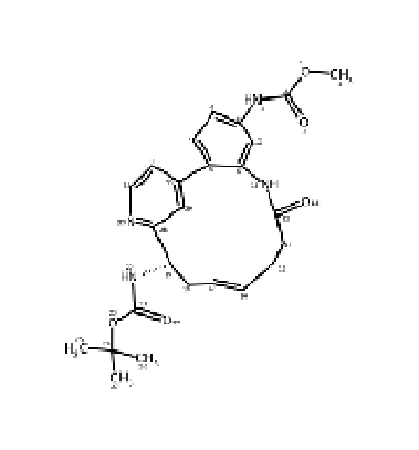 COC(=O)Nc1ccc2c(c1)NC(=O)CC/C=C/C[C@H](NC(=O)OC(C)(C)C)c1cc-2ccn1